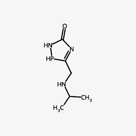 CC(C)NCc1nc(=O)[nH][pH]1